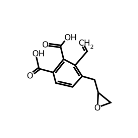 C=Cc1c(CC2CO2)ccc(C(=O)O)c1C(=O)O